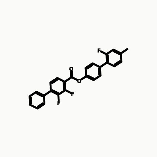 Cc1ccc(-c2ccc(OC(=O)c3ccc(-c4ccccc4)c(F)c3F)cc2)c(F)c1